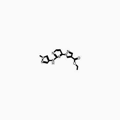 CCOC(=O)c1cnn(-c2ccnc(Nc3cnn(C)c3)n2)c1